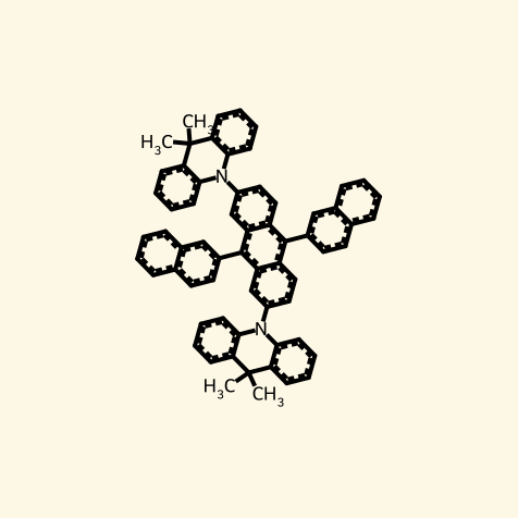 CC1(C)c2ccccc2N(c2ccc3c(-c4ccc5ccccc5c4)c4ccc(N5c6ccccc6C(C)(C)c6ccccc65)cc4c(-c4ccc5ccccc5c4)c3c2)c2ccccc21